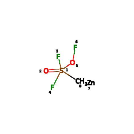 CS(=O)(F)(F)OF.[Zn]